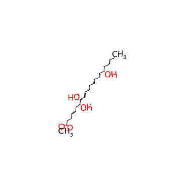 CCC=CCC(O)C=CC=CC=CC=CC(O)C(O)CC=CCCC(=O)OC